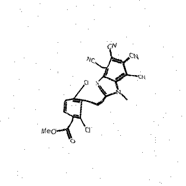 COC(=O)c1ccc(Cl)c(Cc2nc3c(C#N)c(C#N)c(C#N)c(C#N)c3n2C)c1Cl